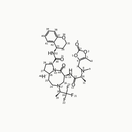 Cc1oc(=O)oc1CN(C)[C@@H](C)C(=O)N[C@H]1CN([C@H](C)C(F)(F)F)CC[C@H]2CC[C@@H](C(=O)N[C@@H]3CCOc4ccccc43)N2C1=O